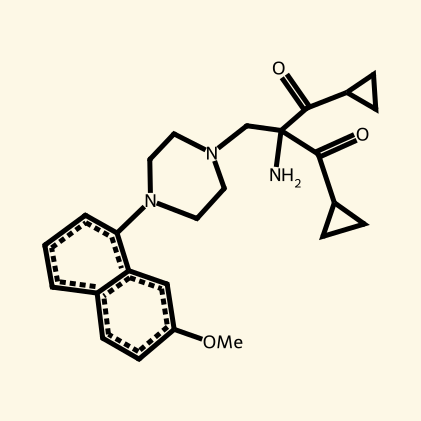 COc1ccc2cccc(N3CCN(CC(N)(C(=O)C4CC4)C(=O)C4CC4)CC3)c2c1